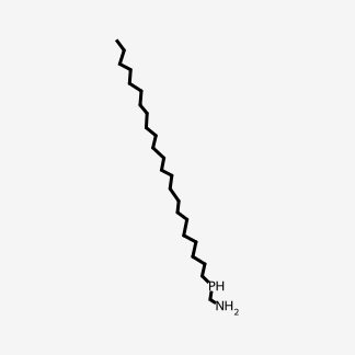 CCCCCCCCCCCCCCCCCCCCCCCPCN